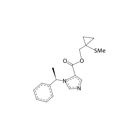 CSC1(COC(=O)c2cncn2[C@H](C)c2ccccc2)CC1